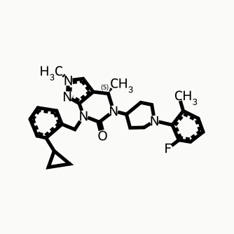 Cc1cccc(F)c1N1CCC(N2C(=O)N(Cc3ccccc3C3CC3)c3nn(C)cc3[C@@H]2C)CC1